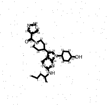 CCCC(C)Nc1ncc2c(C3CCN(C(=O)c4ccnnc4)CC3)cn(C3CCC(O)CC3)c2n1